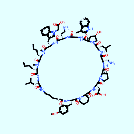 CCCC[C@H]1C(=O)N(C)[C@@H](CCCC)C(=O)N[C@@H](CC(C)C)C(=O)NCCCCC(=O)N[C@@H](Cc2ccc(OC)cc2)C(=O)N2CCCC[C@H]2C(=O)N[C@@H](CC(=O)O)C(=O)N2CCC[C@H]2C(=O)N[C@@H](CN)C(=O)N[C@@H](CC(C)C)C(=O)N2C[C@H](O)C[C@H]2C(=O)N[C@@H](Cc2c[nH]c3ccccc23)C(=O)N[C@@H](CCN)C(=O)N[C@@H](Cc2cn(CC(=O)O)c3ccccc23)C(=O)N1C